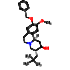 COc1cc2c(cc1OCc1ccccc1)CCN1C[C@@H](CC(C)(C)C)[C@H](O)C[C@H]21